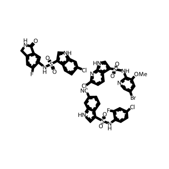 COc1cc(Br)cnc1NS(=O)(=O)c1c[nH]c2nc(Cl)ccc12.N#Cc1ccc2c(S(=O)(=O)Nc3ccc(Cl)cc3F)c[nH]c2c1.O=C1NCc2cc(F)c(NS(=O)(=O)c3c[nH]c4cc(Cl)ccc34)cc21